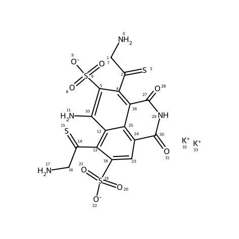 NCC(=S)c1c(S(=O)(=O)[O-])c(N)c2c(C(=S)CN)c(S(=O)(=O)[O-])cc3c2c1C(=O)NC3=O.[K+].[K+]